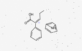 CC/C=C(\C(=O)O)c1ccccc1.c1cc2cc(c1)N2